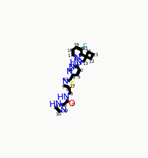 O=C(NCc1cnc(-c2ccc(NCC3(c4ncccc4F)CCC3)nn2)s1)c1ncc[nH]1